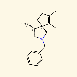 CCOC(=O)[C@@H]1CN(Cc2ccccc2)C[C@]12CCC(C)=C2C